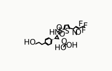 O=C(O)O.O=S(=O)(N[C@H]1C[C@@H]1c1ccc(CCCO)cc1)c1ccc(-c2cc(C(F)(F)F)on2)s1